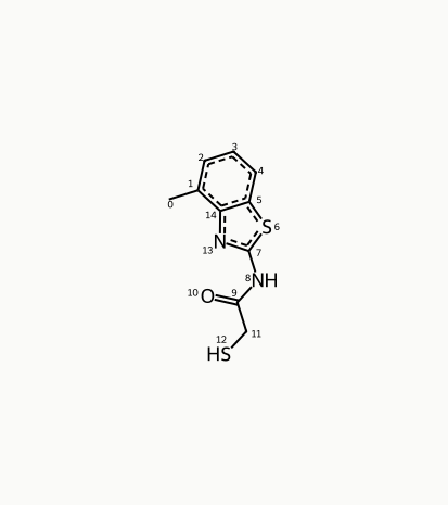 Cc1cccc2sc(NC(=O)CS)nc12